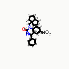 O=c1nc(-c2ccccc2)c2cc([N+](=O)[O-])ccc2n1CC12CCCC1CCC2